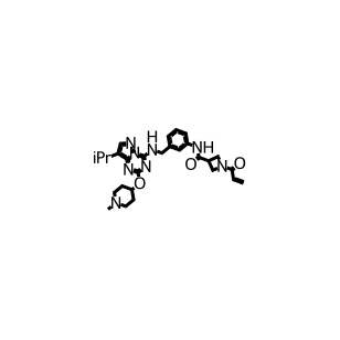 C=CC(=O)N1CC(C(=O)Nc2cccc(CNc3nc(OC4CCN(C)CC4)nc4c(C(C)C)cnn34)c2)C1